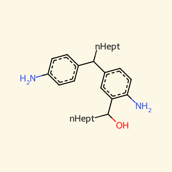 CCCCCCCC(O)c1cc(C(CCCCCCC)c2ccc(N)cc2)ccc1N